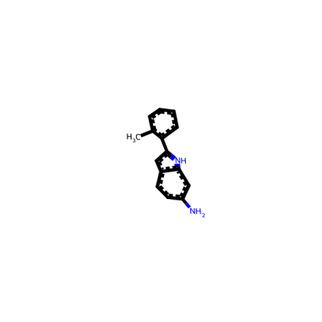 Cc1ccccc1-c1cc2ccc(N)cc2[nH]1